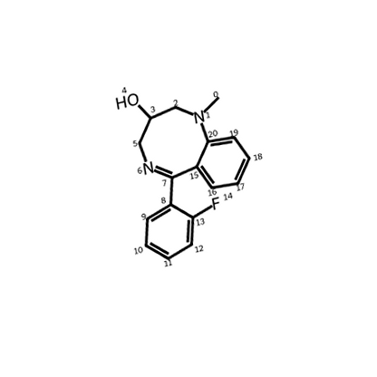 CN1CC(O)CN=C(c2ccccc2F)c2ccccc21